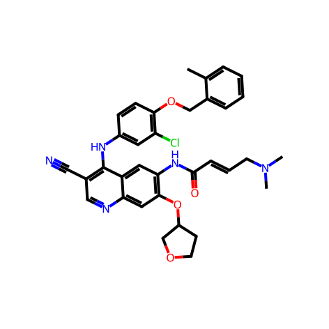 Cc1ccccc1COc1ccc(Nc2c(C#N)cnc3cc(OC4CCOC4)c(NC(=O)C=CCN(C)C)cc23)cc1Cl